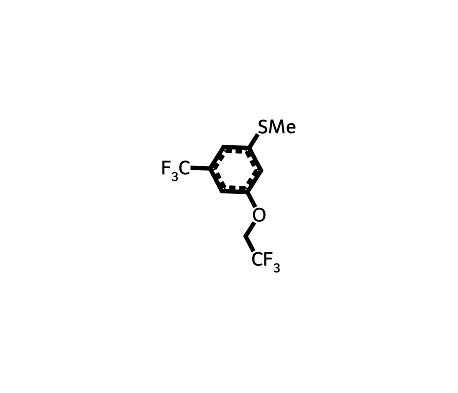 CSc1cc(OCC(F)(F)F)cc(C(F)(F)F)c1